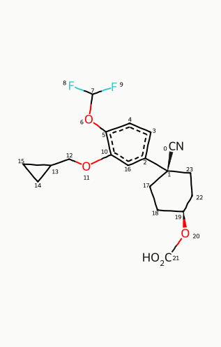 N#C[C@]1(c2ccc(OC(F)F)c(OCC3CC3)c2)CC[C@H](OC(=O)O)CC1